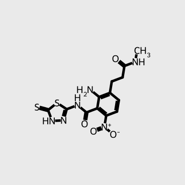 CNC(=O)CCc1ccc([N+](=O)[O-])c(C(=O)Nc2n[nH]c(=S)s2)c1N